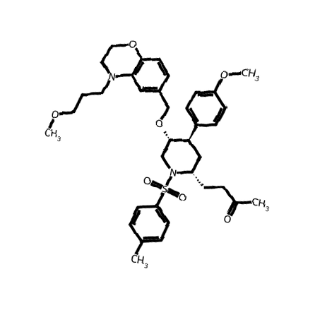 COCCCN1CCOc2ccc(CO[C@H]3CN(S(=O)(=O)c4ccc(C)cc4)[C@@H](CCC(C)=O)C[C@@H]3c3ccc(OC)cc3)cc21